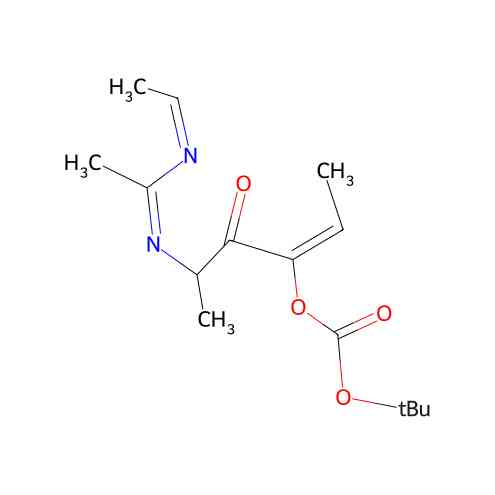 C/C=N\C(C)=N/C(C)C(=O)/C(=C\C)OC(=O)OC(C)(C)C